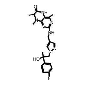 Cc1nc(NCc2cnn(CC(C)(O)c3ccc(F)cc3)c2)nc2c1NC(=O)[C@H](C)N2C